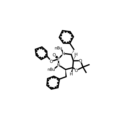 CCCCN1[C@H](Cc2ccccc2)[C@H]2OC(C)(C)O[C@@H]2[C@@H](Cc2ccccc2)N(CCCC)P1(=O)Oc1ccccc1